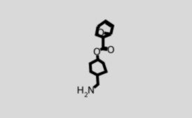 NCC1CCC(OC(=O)C2CC3C=CC2O3)CC1